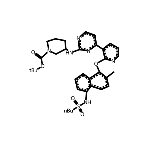 CCCCS(=O)(=O)Nc1cccc2c(Oc3ncccc3-c3ccnc(NC4CCCN(C(=O)OC(C)(C)C)C4)n3)c(C)ccc12